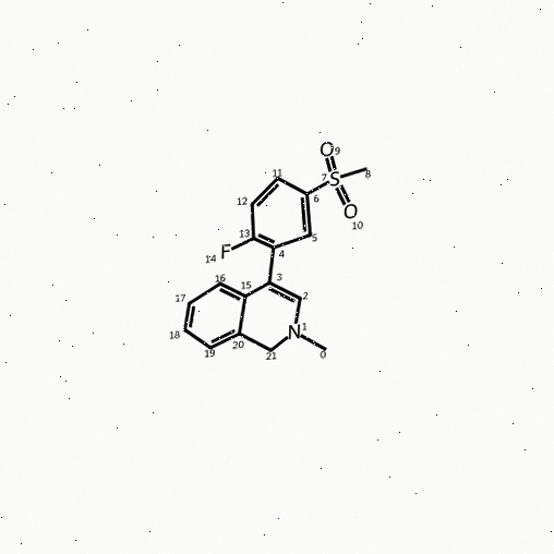 CN1C=C(c2cc(S(C)(=O)=O)ccc2F)c2ccccc2C1